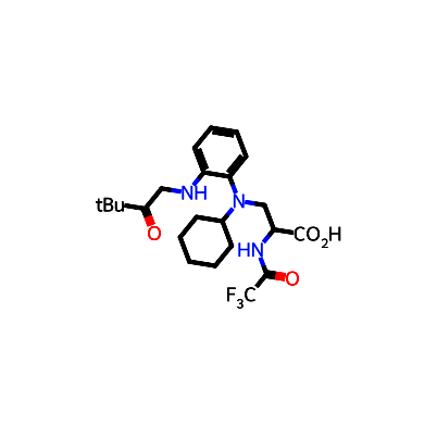 CC(C)(C)C(=O)CNc1ccccc1N(CC(NC(=O)C(F)(F)F)C(=O)O)C1CCCCC1